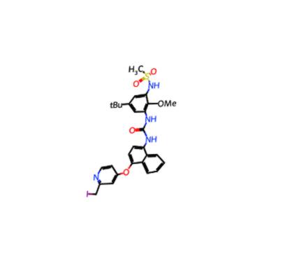 COc1c(NC(=O)Nc2ccc(Oc3ccnc(CI)c3)c3ccccc23)cc(C(C)(C)C)cc1NS(C)(=O)=O